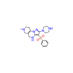 CN1CCC2=C(CNc3c(S(=O)(=O)c4ccccc4)c(N4CCNCC4)nn32)C1